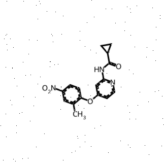 Cc1cc([N+](=O)[O-])ccc1Oc1ccnc(NC(=O)C2CC2)c1